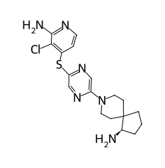 Nc1nccc(Sc2cnc(N3CCC4(CCC[C@H]4N)CC3)cn2)c1Cl